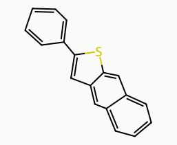 c1ccc(-c2cc3cc4ccccc4cc3s2)cc1